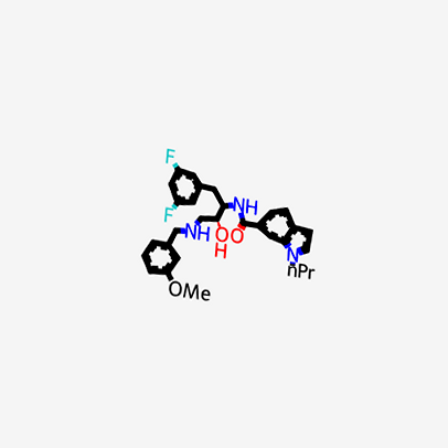 CCCn1ccc2ccc(C(=O)NC(Cc3cc(F)cc(F)c3)[C@H](O)CNCc3cccc(OC)c3)cc21